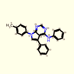 Cc1ccc(-n2cc(-c3ccccc3)c3c(Nc4ccccc4)ncnc32)cc1